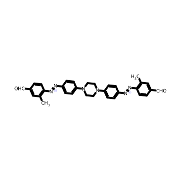 Cc1cc(C=O)ccc1/N=N/c1ccc(N2CCN(c3ccc(/N=N/c4ccc(C=O)cc4C)cc3)CC2)cc1